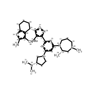 CCCCc1c(-c2nc(N3CC[C@H](N(C)C)C3)cc(N3CCCN(C)C[C@@H]3C)n2)noc1[C@H]1CCCc2sc(N)c(C#N)c21